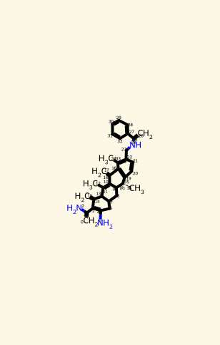 C=C(N)C1=C(N)CC2CC3C(=C(C)C2C1=C)C(=C)c1c(ccc(CNC(=C)c2ccccc2)c1C)[C@@H]3C